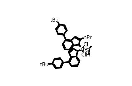 CCCC1=Cc2c(-c3ccc(C(C)(C)C)cc3)cccc2[CH]1[Zr]([Cl])([Cl])([CH]1C=Cc2c(-c3ccc(C(C)(C)C)cc3)cccc21)[SiH](C)C